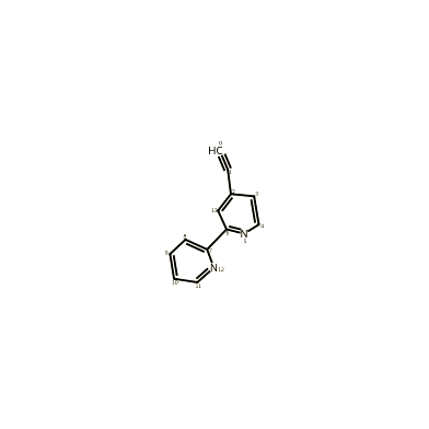 C#Cc1ccnc(-c2ccccn2)c1